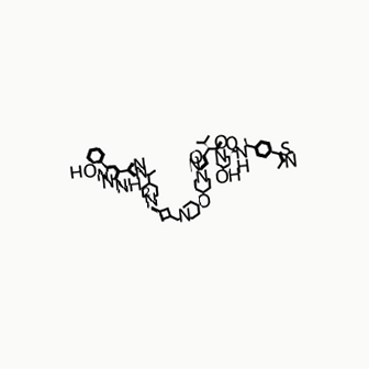 Cc1ncsc1-c1ccc([C@H](C)NC(=O)[C@@H]2C[C@@H](O)CN2C(=O)[C@H](c2cc(N3CCC(OC4CCN(CC5CC(CN6CCC(C(C)n7cc(-c8cc(-c9ccccc9O)nnc8N)cn7)CC6)C5)CC4)CC3)no2)C(C)C)cc1